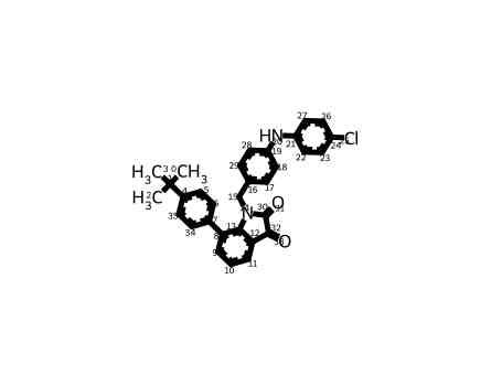 CC(C)(C)c1ccc(-c2cccc3c2N(Cc2ccc(Nc4ccc(Cl)cc4)cc2)C(=O)C3=O)cc1